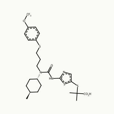 CC(C)(Sc1cnc(NC(=O)N(CCCSc2ccc(OC(F)(F)F)cc2)[C@H]2CC[C@H](C)CC2)s1)C(=O)O